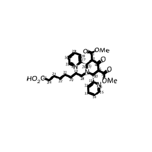 COC(=O)C1C(=O)C(C(=O)OC)[C@H](c2ccccn2)N(CCCCCCCC(=O)O)[C@@H]1c1ccccn1